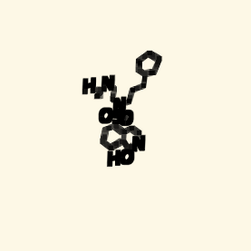 NCCN(CCCc1ccccc1)S(=O)(=O)c1cccc2c(O)nccc12